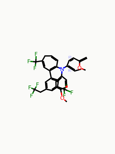 C=C(/C=C\C(=C/C)N(C1=C(c2cc(CC(F)(F)F)cc(C(F)(F)F)c2)C=C(C(F)(F)F)CC=C1)c1ccc(OC)cc1)OC